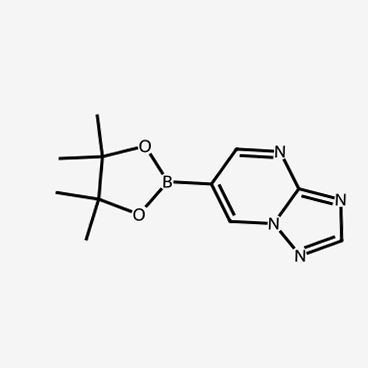 CC1(C)OB(c2cnc3ncnn3c2)OC1(C)C